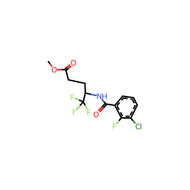 COC(=O)CCC(NC(=O)c1cccc(Cl)c1F)C(F)(F)F